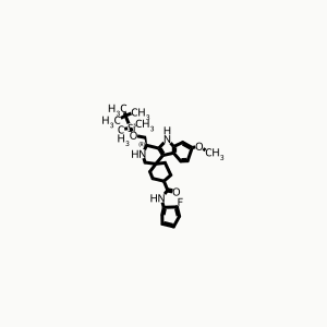 COc1ccc2c3c([nH]c2c1)[C@H](CO[Si](C)(C)C(C)(C)C)NCC31CCC(C(=O)Nc2ccccc2F)CC1